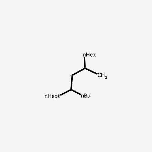 CCCCCCCC([CH]C(C)CCCCCC)CCCC